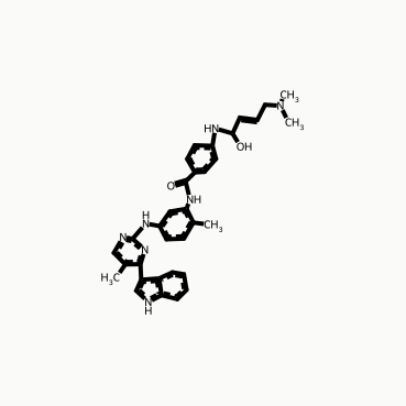 Cc1ccc(Nc2ncc(C)c(-c3c[nH]c4ccccc34)n2)cc1NC(=O)c1ccc(NC(O)/C=C/CN(C)C)cc1